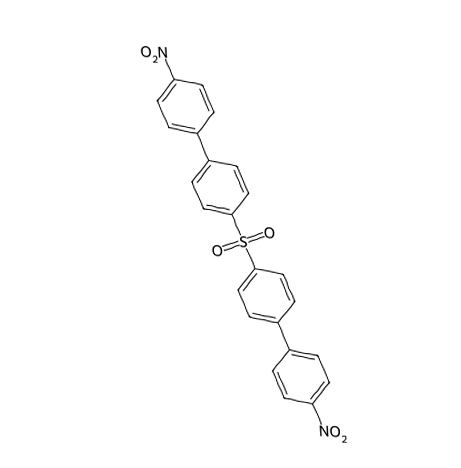 O=[N+]([O-])c1ccc(-c2ccc(S(=O)(=O)c3ccc(-c4ccc([N+](=O)[O-])cc4)cc3)cc2)cc1